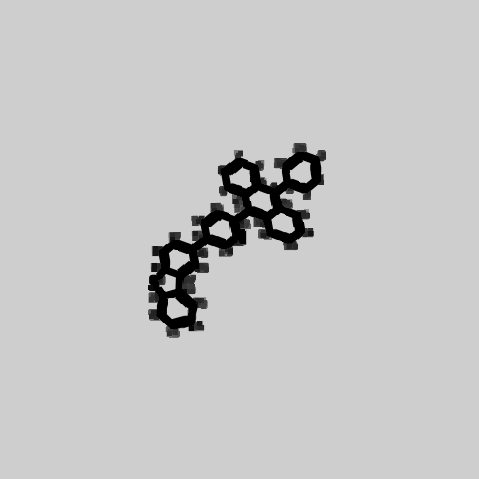 c1ccc(-c2c3ccccc3c(-c3ccc(-c4ccc5sc6ccccc6c5c4)cn3)c3ccccc23)cc1